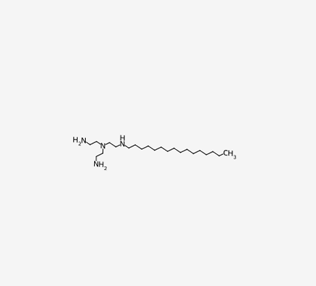 CCCCCCCCCCCCCCCCNCCN(CCN)CCN